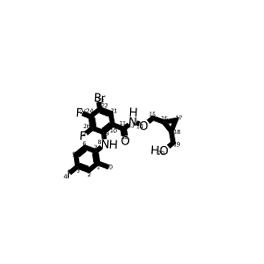 Cc1cc(I)ccc1Nc1c(C(=O)NOCC2CC2CO)cc(Br)c(F)c1F